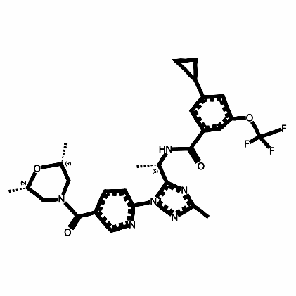 Cc1nc([C@H](C)NC(=O)c2cc(OC(F)(F)F)cc(C3CC3)c2)n(-c2ccc(C(=O)N3C[C@@H](C)O[C@@H](C)C3)cn2)n1